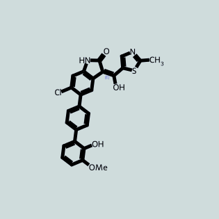 COc1cccc(-c2ccc(-c3cc4c(cc3Cl)NC(=O)/C4=C(/O)c3cnc(C)s3)cc2)c1O